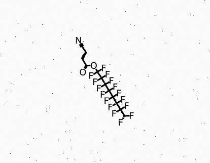 N#CC=CC(=O)OC(F)(F)C(F)(F)C(F)(F)C(F)(F)C(F)(F)C(F)(F)C(F)(F)C(F)F